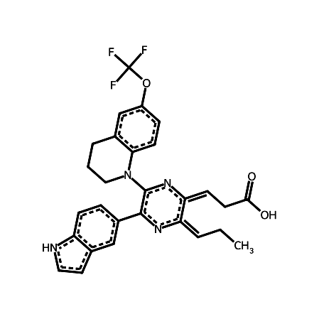 CC/C=c1/nc(-c2ccc3[nH]ccc3c2)c(N2CCCc3cc(OC(F)(F)F)ccc32)n/c1=C/CC(=O)O